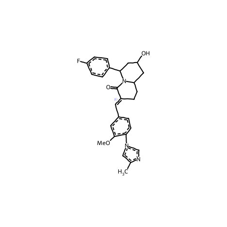 COc1cc(/C=C2\CCC3CC(O)CC(c4ccc(F)cc4)N3C2=O)ccc1-n1cnc(C)c1